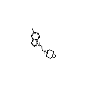 Cc1ccc2c(ccn2CCN2CCOCC2)c1